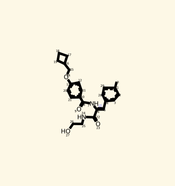 Cc1ccc(/C=C(\NC(=O)c2ccc(OCC3CCC3)cc2)C(=O)NCCO)cc1